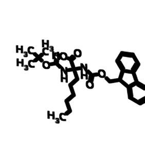 CCCCCCC(NC(=O)OCC1c2ccccc2-c2ccccc21)(NC(=O)OC(C)(C)C)C(=O)O